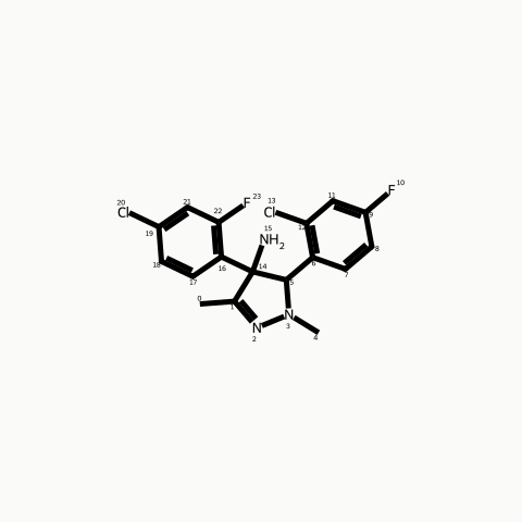 CC1=NN(C)C(c2ccc(F)cc2Cl)C1(N)c1ccc(Cl)cc1F